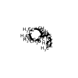 CC(=Cc1csc(CN2CCN(C)CC2)n1)C1OC(=O)CCC(C)(C)C(=O)C(C)CC(C)CCCC2(C)OC2(O)C1O